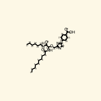 CCCCCCCCCC(=O)NC(OCc1nnn(-c2ccc(C(=O)O)cc2)n1)C(=O)NCCCCCC